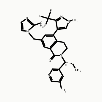 CC[C@H](c1cncc(C)c1)N1CCc2c(cc(Cn3ccnc3C)cc2-c2cn(C)nc2C(F)(F)F)C1=O